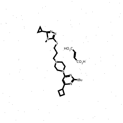 Cn1c(SCCCN2CCN(c3cc(C4CCC4)nc(C(C)(C)C)n3)CC2)nnc1C1CC1.O=C(O)C=CC(=O)O